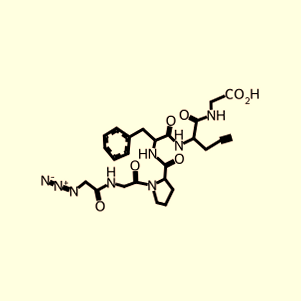 C#CCC(NC(=O)C(Cc1ccccc1)NC(=O)C1CCCN1C(=O)CNC(=O)CN=[N+]=[N-])C(=O)NCC(=O)O